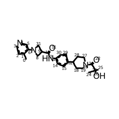 Cc1ccncc1N1CC(C(=O)Nc2ccc(C3CCN(C(=O)C(C)(C)O)CC3)cc2)C1